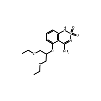 CCOCC(COCC)Oc1cccc2c1C(N)=NS(=O)(=O)N2